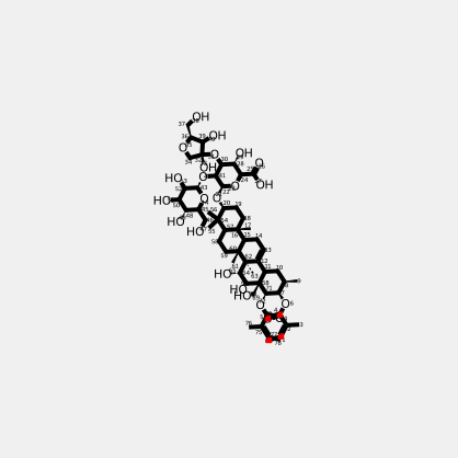 C/C=C(/C)C(=O)O[C@@H]1[C@H](C)CC2C3=CCC4[C@@]5(C)CC[C@H](O[C@@H]6OC(C(=O)O)[C@@H](O)C(O[C@]7(O)CO[C@@H](CO)C7O)C6O[C@@H]6OC(CO)[C@H](O)C(O)C6O)C(C)(C)C5CC[C@@]4(C)[C@]3(C)[C@@H](O)[C@@H](O)[C@@]2(CO)[C@H]1OC(=O)/C(C)=C\C